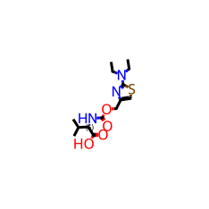 CCN(CC)c1nc(COC(=O)N[C@H](C(=O)O)C(C)C)cs1